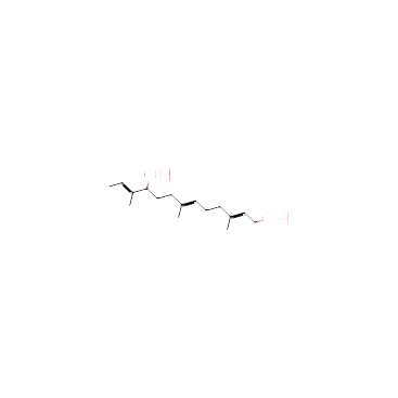 C/C=C(\C)C(O)CC/C(C)=C/CC/C(C)=C/CO